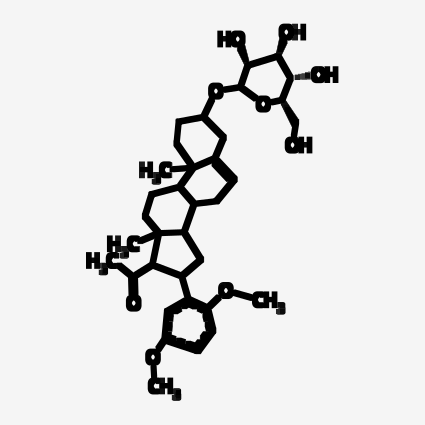 COc1ccc(OC)c(C2CC3C4CC=C5CC(OC6O[C@H](CO)[C@@H](O)[C@H](O)[C@@H]6O)CCC5(C)C4CCC3(C)C2C(C)=O)c1